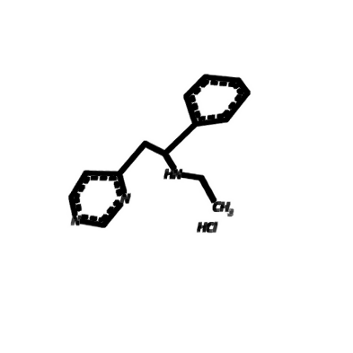 CCNC(Cc1ccncn1)c1ccccc1.Cl